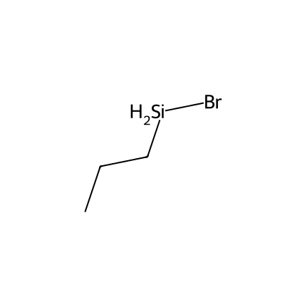 CCC[SiH2]Br